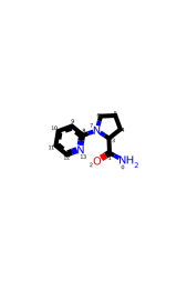 NC(=O)C1CCCN1c1ccccn1